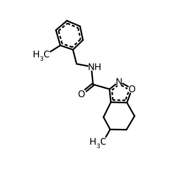 Cc1ccccc1CNC(=O)c1noc2c1CC(C)CC2